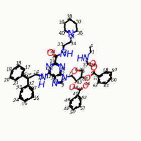 CCNC(=O)[C@H]1OC(n2cnc3c(NCC(c4ccccc4)c4ccccc4)nc(C(=O)NCCN4CCCCC4)nc32)C(OC(=O)c2ccccc2)C1OC(=O)c1ccccc1